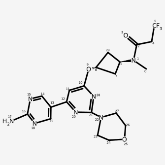 CN(C(=O)CC(F)(F)F)[C@H]1C[C@H](Oc2cc(-c3cnc(N)nc3)nc(N3CCOCC3)n2)C1